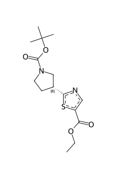 CCOC(=O)c1cnc([C@@H]2CCN(C(=O)OC(C)(C)C)C2)s1